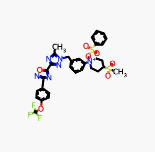 Cc1nc(-c2nc(-c3ccc(OC(F)(F)F)cc3)no2)nn1Cc1cccc([N+]2(OS(=O)(=O)c3ccccc3)CCC(S(C)(=O)=O)CC2)c1